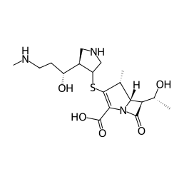 CNCC[C@@H](O)[C@H]1CNCC1SC1=C(C(=O)O)N2C(=O)[C@H]([C@@H](C)O)[C@H]2[C@H]1C